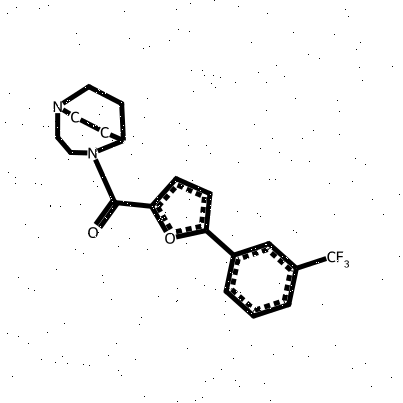 O=C(c1ccc(-c2cccc(C(F)(F)F)c2)o1)N1CCN2CCC1CC2